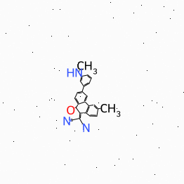 CNc1cccc(-c2ccc3c(c2)-c2cc(C)ccc2C(=C(C#N)C#N)C3=O)c1